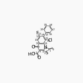 C=c1sc2c(C(=O)O)c(=O)c3cc(F)c(-c4ccccc4)c(Cl)c3n12